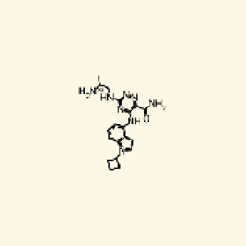 C[C@H](N)CNc1nnc(C(N)=O)c(Nc2cccc3c2ccn3C2CCC2)n1